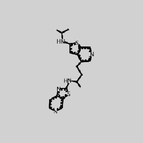 CC(C)Nc1cc2c(CCC(C)Nc3nc4ccncc4s3)cncc2s1